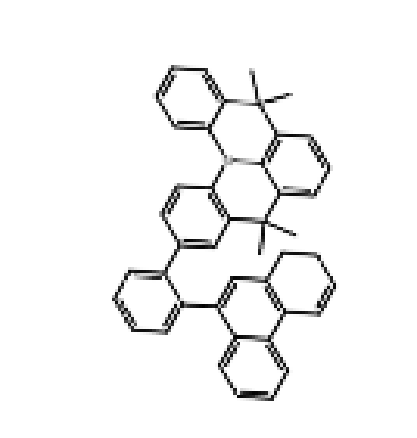 CC1(C)c2ccccc2N2c3ccc(-c4ccccc4-c4cc5c(c6ccccc46)C=CCC5)cc3C(C)(C)c3cccc1c32